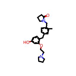 Cc1cc(Cc2[c]cc(O)cc2OCCN2CCCC2)ccc1CN1CCCC1=O